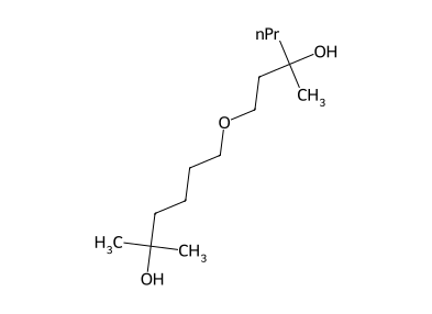 CCCC(C)(O)CCOCCCCC(C)(C)O